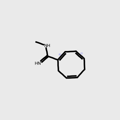 CNC(=N)/C1=C/C=C\CC=CC1